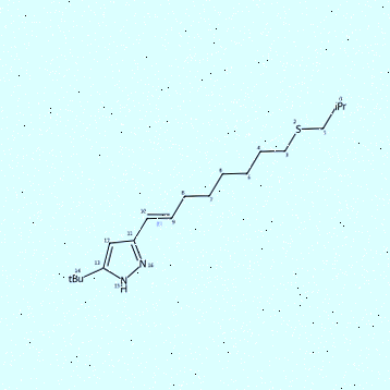 CC(C)CSCCCCCC/C=C/c1cc(C(C)(C)C)[nH]n1